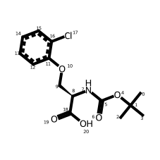 CC(C)(C)OC(=O)N[C@H](COc1ccccc1Cl)C(=O)O